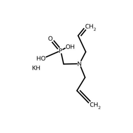 C=CCN(CC=C)CP(=O)(O)O.[KH]